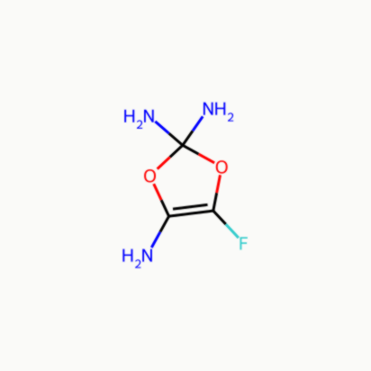 NC1=C(F)OC(N)(N)O1